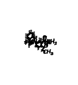 CCC(=O)c1ccc(NCc2ccccc2C(F)(F)F)cc1C(=O)ON